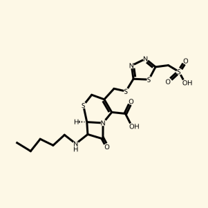 CCCCCNC1C(=O)N2C(C(=O)O)=C(CSc3nnc(CS(=O)(=O)O)s3)CS[C@H]12